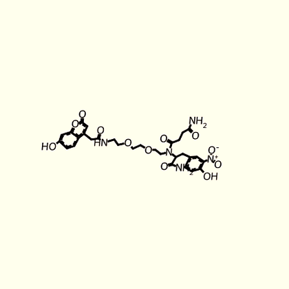 NC(=O)CCC(=O)N(CCOCCOCCNC(=O)Cc1cc(=O)oc2cc(O)ccc12)C(Cc1ccc(O)c([N+](=O)[O-])c1)C(N)=O